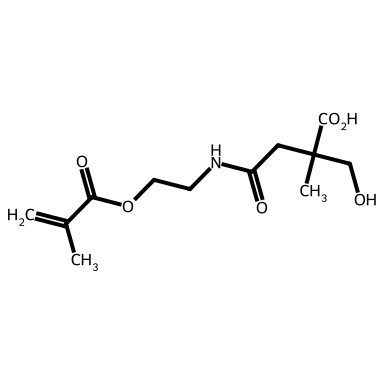 C=C(C)C(=O)OCCNC(=O)CC(C)(CO)C(=O)O